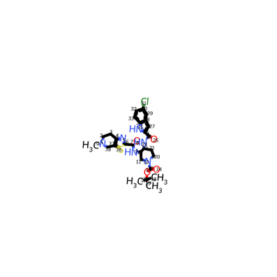 CN1CCc2nc(C(=O)NC3CN(C(=O)OC(C)(C)C)CCC3NC(=O)c3cc4cc(Cl)ccc4[nH]3)sc2C1